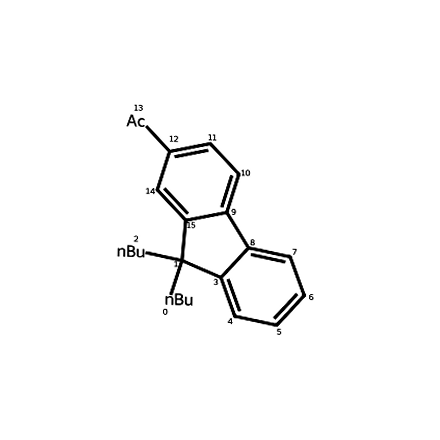 CCCCC1(CCCC)c2ccccc2-c2ccc(C(C)=O)cc21